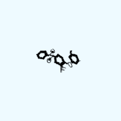 Cc1c[c]cc(Oc2ccc(S(=O)(=O)c3ccccc3)cc2F)c1